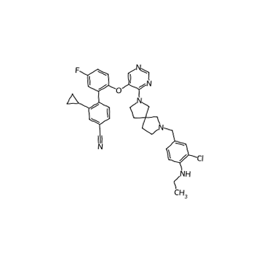 CCNc1ccc(CN2CCC3(CCN(c4ncncc4Oc4ccc(F)cc4-c4ccc(C#N)cc4C4CC4)C3)C2)cc1Cl